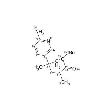 CN(CC(C)(C)c1ccc(N)nc1)C(=O)OC(C)(C)C